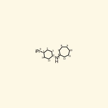 CC(C)[C@H]1CC[C@H](NC2CCCCCC2)CC1